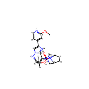 COc1cc(-c2cn3nccc(N4CC5CCC(C4)N5C(=O)OC(C)(C)C)c3n2)ccn1